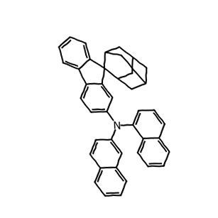 c1ccc2c(c1)-c1ccc(N(c3ccc4ccccc4c3)c3cccc4ccccc34)cc1C21C2CC3CC(C2)CC1C3